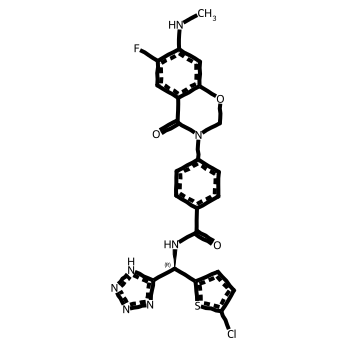 CNc1cc2c(cc1F)C(=O)N(c1ccc(C(=O)N[C@H](c3nnn[nH]3)c3ccc(Cl)s3)cc1)CO2